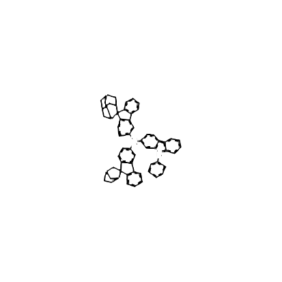 c1ccc(-n2c3ccccc3c3ccc(N(c4ccc5c(c4)-c4ccccc4C54CC5CCC4C5)c4ccc5c(c4)-c4ccccc4C54C5CC6CC(C5)CC4C6)cc32)cc1